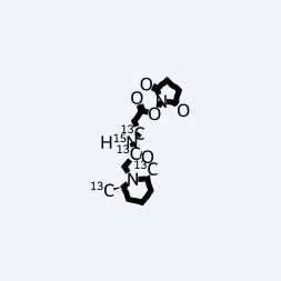 [13CH3][C@@H]1CCC[C@H]([13CH3])N1C[13C](=O)[15NH][13CH2]CC(=O)ON1C(=O)CCC1=O